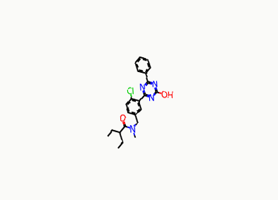 CCC(CC)C(=O)N(C)Cc1ccc(Cl)c(-c2nc(O)nc(-c3ccccc3)n2)c1